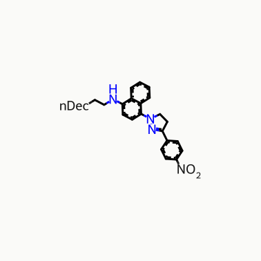 CCCCCCCCCCCCNc1ccc(N2CCC(c3ccc([N+](=O)[O-])cc3)=N2)c2ccccc12